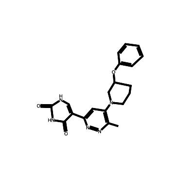 Cc1nnc(-c2c[nH]c(=O)[nH]c2=O)cc1N1CCCC(Oc2ccccc2)C1